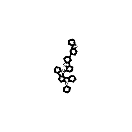 c1ccc(-n2c3ccccc3c3c2ccc2c4ccccc4n(-c4cccc5c4sc4ccc(-c6ccc7sc8ccccc8c7c6)cc45)c23)cc1